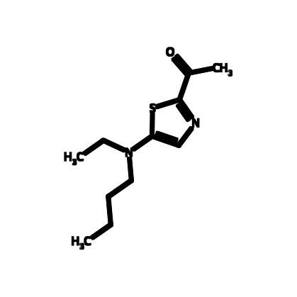 CCCCN(CC)c1cnc(C(C)=O)s1